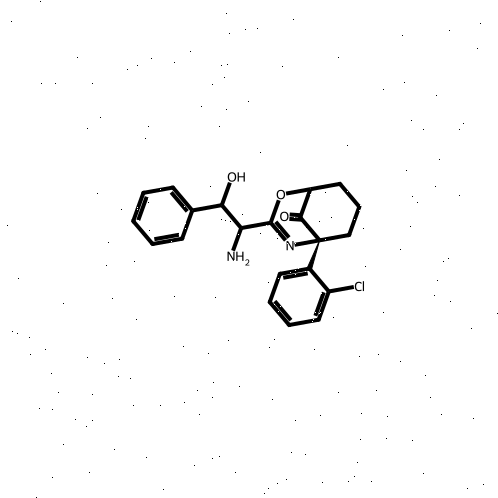 NC(C1=N[C@@]2(c3ccccc3Cl)CCCC(O1)C2=O)C(O)c1ccccc1